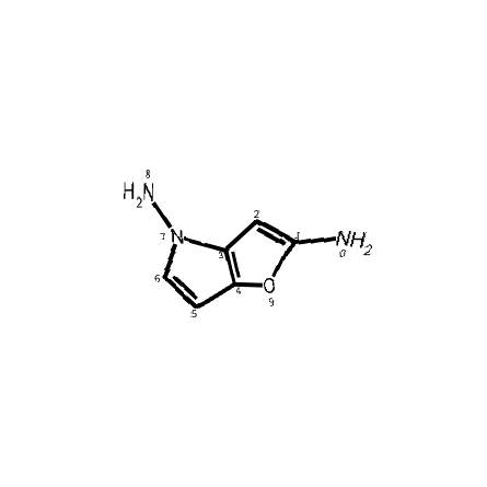 Nc1cc2c(ccn2N)o1